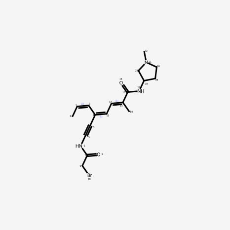 C\C=C/C(C#CNC(=O)CBr)=C\C=C(/C)C(=O)NC1CCN(C)C1